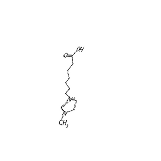 Cn1cc[n+](CCCCCCC(=O)O)c1